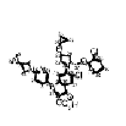 CN(C)C1CN(c2ccc(-n3cc(C(=O)O)c(=O)c4cc(Cl)c(N5CC(OC6CC6)C[C@@H]5COc5ncccc5Cl)cc43)cn2)C1